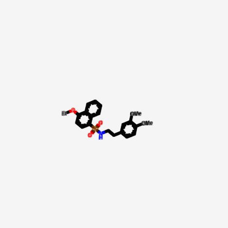 CCOc1ccc(S(=O)(=O)NCCc2ccc(OC)c(OC)c2)c2ccccc12